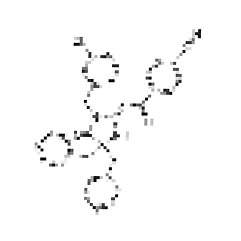 N#Cc1ccc(C(=O)C=C2NC(Cc3ccncc3)(Cc3ccncc3)C(=O)N2Cc2cccc(Cl)c2)cc1